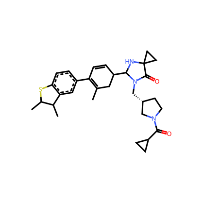 CC1=C(c2ccc3c(c2)C(C)C(C)S3)C=CC(C2NC3(CC3)C(=O)N2C[C@@H]2CCN(C(=O)C3CC3)C2)C1